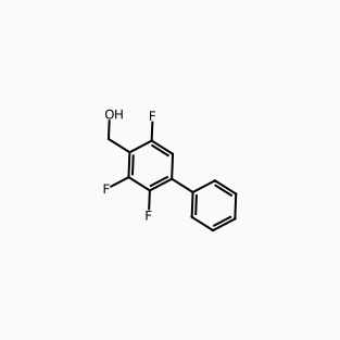 OCc1c(F)cc(-c2ccccc2)c(F)c1F